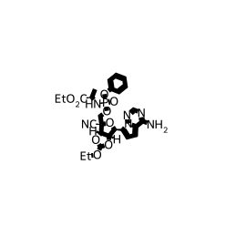 CCOC(=O)[C@H](C)N[P@](=O)(OC[C@@]1(C#N)O[C@@H](c2ccc3c(N)ncnn23)[C@@H]2OC(OCC)O[C@@H]21)Oc1ccccc1